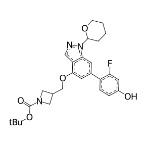 CC(C)(C)OC(=O)N1CC(COc2cc(-c3ccc(O)cc3F)cc3c2cnn3C2CCCCO2)C1